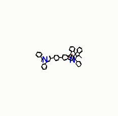 C=C(/C=C(\N=C(/C)c1ccccc1)c1ccccc1)c1ccc(-c2ccc(C(=C)/N=C(\C3=C(C)c4ccccc4C34c3ccccc3-c3ccccc34)C3C=CCCC3)cc2)cc1